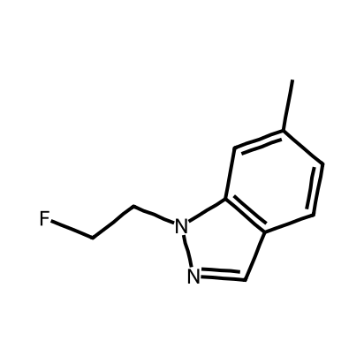 Cc1ccc2cnn(CCF)c2c1